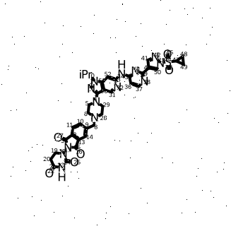 CC(C)n1nc(N2CCN(Cc3ccc4c(c3)C(=O)N(N3CCC(=O)NC3=O)C4=O)CC2)c2cnc(Nc3ccnc(-c4cnn(S(=O)(=O)C5CC5)c4)n3)cc21